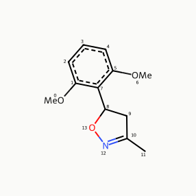 COc1cccc(OC)c1C1CC(C)=NO1